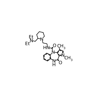 CCN(CC)CC1CCCCN1CCNC(=O)N1c2ccccc2NC(=O)c2c1c(C)cn2C